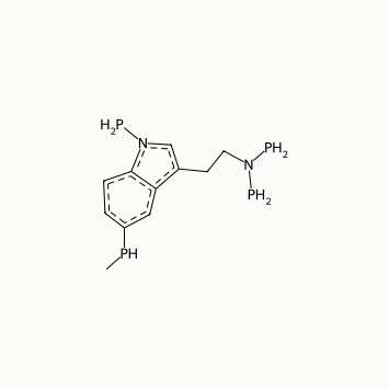 CPc1ccc2c(c1)c(CCN(P)P)cn2P